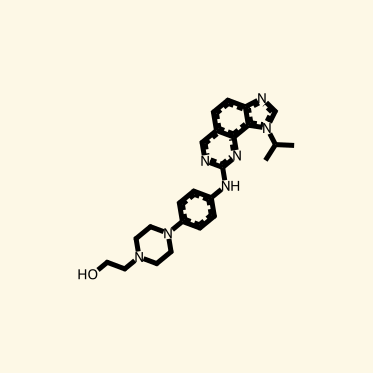 CC(C)n1cnc2ccc3cnc(Nc4ccc(N5CCN(CCO)CC5)cc4)nc3c21